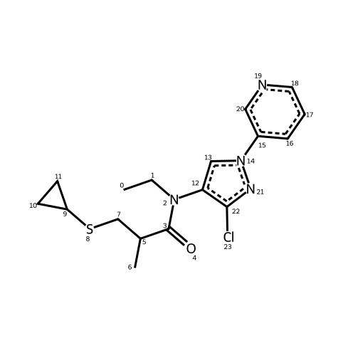 CCN(C(=O)C(C)CSC1CC1)c1cn(-c2cccnc2)nc1Cl